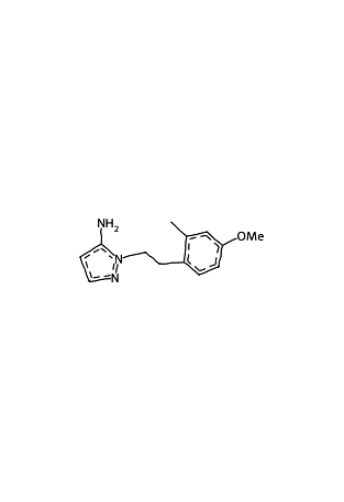 COc1ccc(CCn2nccc2N)c(C)c1